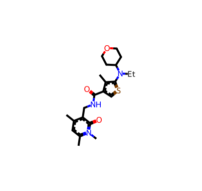 CCN(c1scc(C(=O)NCc2c(C)cc(C)n(C)c2=O)c1C)C1CCOCC1